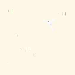 CN1CC[O][SnH]([Cl])[O]C(Cl)C1